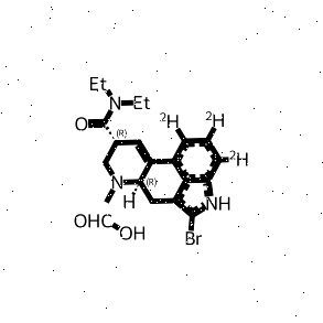 O=CO.[2H]c1c([2H])c2c3c(c(Br)[nH]c3c1[2H])C[C@@H]1C2=C[C@@H](C(=O)N(CC)CC)CN1C